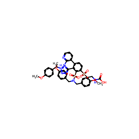 COc1ccc(CN(Cc2ccc(OC)cc2)S(=O)(=O)c2c(S(=O)(=O)CCNC(=O)O)ccc(-c3cccnc3N)c2-c2nnn(Cc3ccc(OC)cc3)n2)cc1